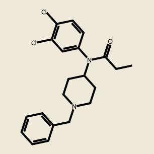 CCC(=O)N(c1ccc(Cl)c(Cl)c1)C1CCN(Cc2ccccc2)CC1